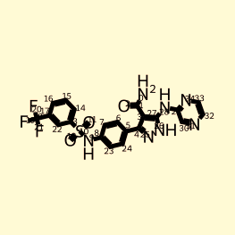 NC(=O)c1c(-c2ccc(NS(=O)(=O)c3cccc(C(F)(F)F)c3)cc2)n[nH]c1Nc1cnccn1